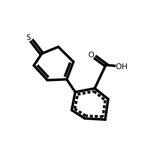 O=C(O)c1ccccc1C1=CCC(=S)C=C1